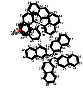 [Na+].[Na+].c1ccc2c([B-](c3cccc4ccccc34)(c3cccc4ccccc34)c3cccc4ccccc34)cccc2c1.c1ccc2cc([B-](c3ccc4ccccc4c3)(c3ccc4ccccc4c3)c3ccc4ccccc4c3)ccc2c1